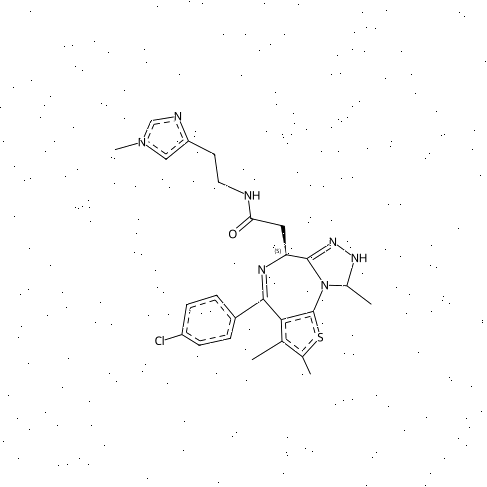 Cc1sc2c(c1C)C(c1ccc(Cl)cc1)=N[C@@H](CC(=O)NCCc1cn(C)cn1)C1=NNC(C)N12